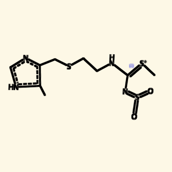 C/[S+]=C(\N=S(=O)=O)NCCSCc1nc[nH]c1C